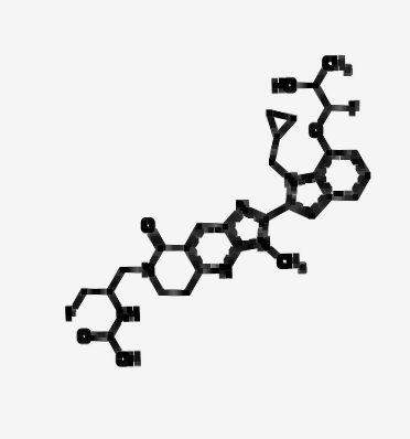 CC(O)C(F)Oc1cccc2cc(-c3nc4cc5c(nc4n3C)CCN(CC(CF)NC(=O)O)C5=O)n(CC3CC3)c12